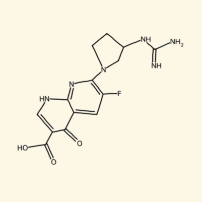 N=C(N)NC1CCN(c2nc3[nH]cc(C(=O)O)c(=O)c3cc2F)C1